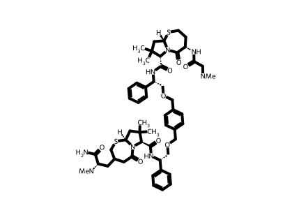 CNCC(=O)N[C@H]1CCS[C@H]2CC(C)(C)[C@@H](C(=O)N[C@H](COCc3ccc(COC[C@@H](NC(=O)[C@H]4N5C(=O)CC(C[C@H](NC)C(N)=O)CS[C@H]5CC4(C)C)c4ccccc4)cc3)c3ccccc3)N2C1=O